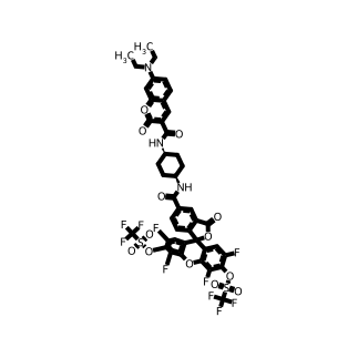 CCN(CC)c1ccc2cc(C(=O)N[C@H]3CC[C@H](NC(=O)c4ccc5c(c4)C(=O)OC54c5cc(F)c(OS(=O)(=O)C(F)(F)F)c(F)c5Oc5c4cc(F)c(OS(=O)(=O)C(F)(F)F)c5F)CC3)c(=O)oc2c1